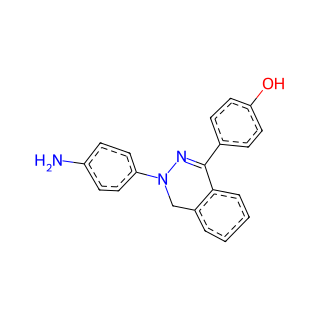 Nc1ccc(N2Cc3ccccc3C(c3ccc(O)cc3)=N2)cc1